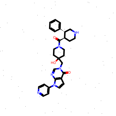 O=C([C@@H]1CCNC[C@H]1c1ccccc1)N1CCC(O)(Cn2cnc3c(ccn3-c3ccncc3)c2=O)CC1